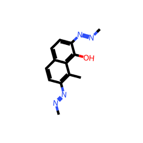 CN=Nc1ccc2ccc(N=NC)c(O)c2c1C